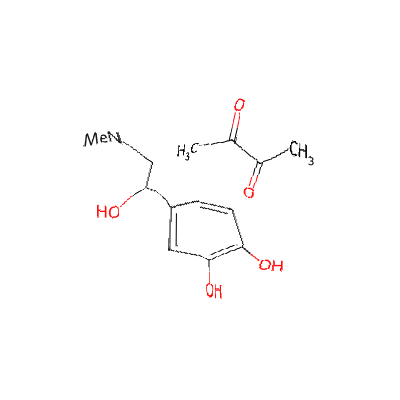 CC(=O)C(C)=O.CNCC(O)c1ccc(O)c(O)c1